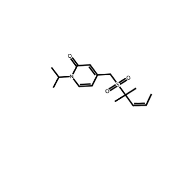 C/C=C\C(C)(C)S(=O)(=O)Cc1ccn(C(C)C)c(=O)c1